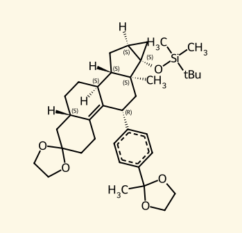 CC1(c2ccc([C@H]3C[C@@]4(C)[C@@H](C[C@H]5C[C@]54O[Si](C)(C)C(C)(C)C)[C@@H]4CC[C@H]5CC6(CCC5=C43)OCCO6)cc2)OCCO1